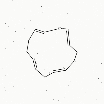 [CH]1/C=C/C/C=C/CC/C=C/C/C=C/C1